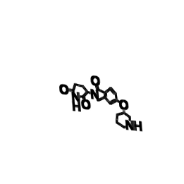 O=C1CCC(N2Cc3cc(OC4CCCNC4)ccc3C2=O)C(=O)N1